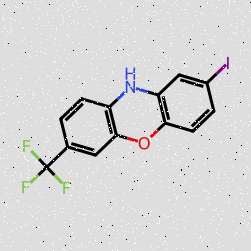 FC(F)(F)c1ccc2c(c1)Oc1ccc(I)cc1N2